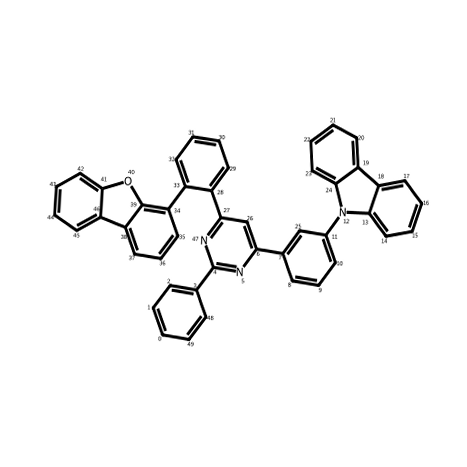 c1ccc(-c2nc(-c3cccc(-n4c5ccccc5c5ccccc54)c3)cc(-c3ccccc3-c3cccc4c3oc3ccccc34)n2)cc1